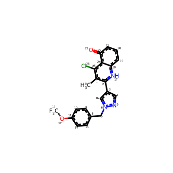 Cc1c(-c2cnn(Cc3ccc(OC(F)(F)F)cc3)c2)[nH]c2cccc(=O)c-2c1Cl